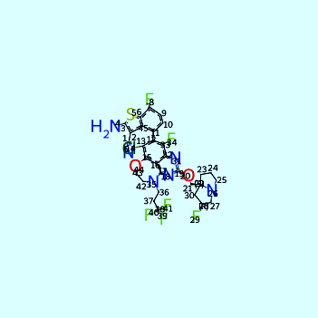 N#Cc1c(N)sc2c(F)ccc(-c3c(Cl)c4c5c(nc(OC[C@@]67CCCN6C[C@H](F)C7)nc5c3F)N(CCC(F)(F)F)CCO4)c12